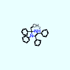 C=CC1(c2ccccc2)NC(c2ccccc2)=C(c2ccccc2)N1c1ccccc1